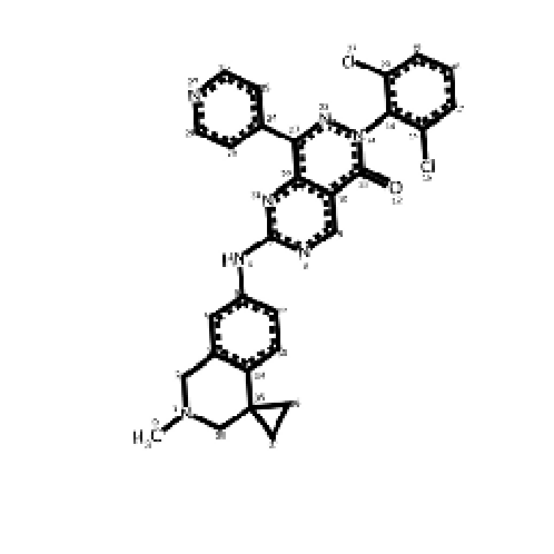 CN1Cc2cc(Nc3ncc4c(=O)n(-c5c(Cl)cccc5Cl)nc(-c5ccncc5)c4n3)ccc2C2(CC2)C1